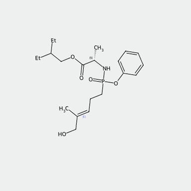 CCC(CC)COC(=O)[C@H](C)NP(=O)(CC/C=C(\C)CO)Oc1ccccc1